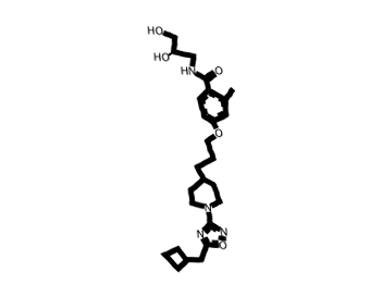 Cc1cc(OCCCC2CCN(c3noc(CC4CCC4)n3)CC2)ccc1C(=O)NC[C@H](O)CO